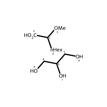 CCCCCCC(OC)C(=O)O.OCC(O)CO